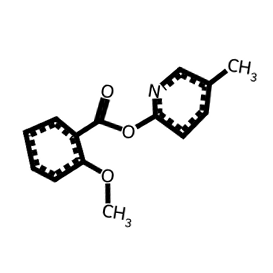 COc1ccccc1C(=O)Oc1ccc(C)cn1